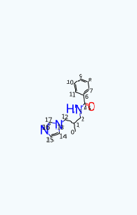 CC(CNC(=O)c1ccccc1)Cn1ccnc1